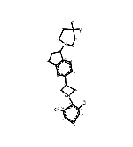 CC1(O)CCN(C2CCc3cc(C4CN(c5c(Cl)cccc5Cl)C4)ccc32)CC1